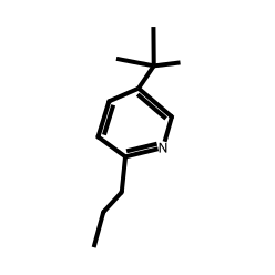 CCCc1ccc(C(C)(C)C)cn1